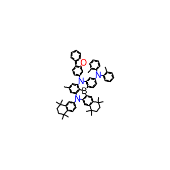 Cc1cc2c3c(c1)N(c1ccc4c(c1)C(C)(C)CCC4(C)C)c1cc4c(cc1B3c1ccc(N(c3ccccc3C)c3ccccc3C)cc1N2c1ccc2c(c1)oc1ccccc12)C(C)(C)CCC4(C)C